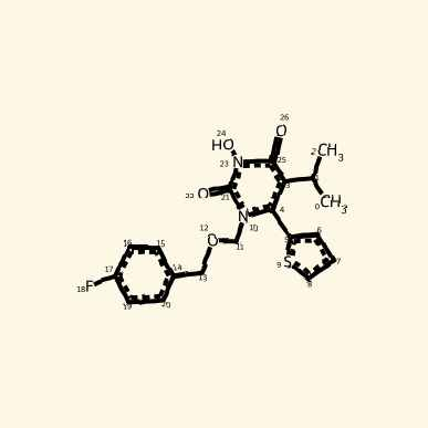 CC(C)c1c(-c2cccs2)n(COCc2ccc(F)cc2)c(=O)n(O)c1=O